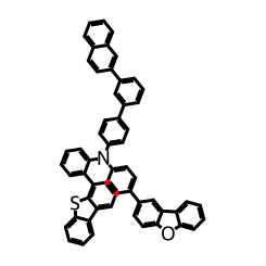 c1cc(-c2ccc(N(c3ccc(-c4ccc5oc6ccccc6c5c4)cc3)c3ccccc3-c3cccc4c3sc3ccccc34)cc2)cc(-c2ccc3ccccc3c2)c1